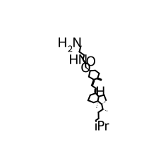 C=C1CC[C@H](OC(=O)NCCCN)C/C1=C/C=C1\CCC[C@]2(C)[C@@H]([C@H](C)CCCC(C)C)CC[C@@H]12